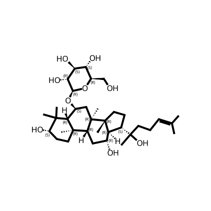 CC(C)=CCCC(C)(O)[C@H]1CC[C@]2(C)[C@@H]1[C@H](O)C[C@@H]1[C@@]3(C)CC[C@H](O)C(C)(C)[C@@H]3[C@@H](O[C@@H]3O[C@H](CO)[C@@H](O)[C@H](O)[C@H]3O)C[C@]12C